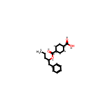 CCCC(Cc1ccccc1)OC(=O)C1CCC(C(=O)O)CC1